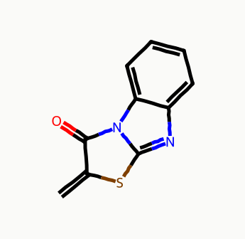 C=c1sc2nc3ccccc3n2c1=O